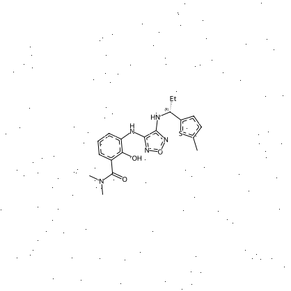 CC[C@@H](Nc1nonc1Nc1cccc(C(=O)N(C)C)c1O)c1ccc(C)s1